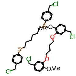 COc1ccc(CCl)cc1OCCCCOc1cc(CCl)ccc1OC.ClCc1ccc(SCCCCCCSc2ccc(CCl)cc2)cc1